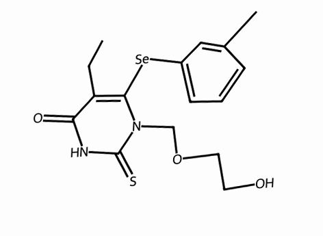 CCc1c([Se]c2cccc(C)c2)n(COCCO)c(=S)[nH]c1=O